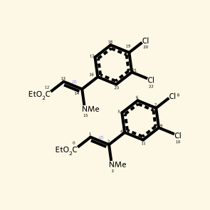 CCOC(=O)/C=C(\NC)c1ccc(Cl)c(Cl)c1.CCOC(=O)/C=C(\NC)c1ccc(Cl)c(Cl)c1